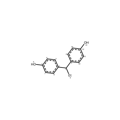 [CH2]CC(c1ccc(O)cc1)c1ccc(O)cc1